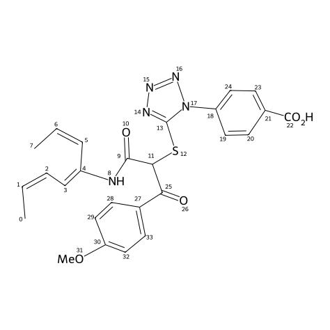 C\C=C/C=C(\C=C/C)NC(=O)C(Sc1nnnn1-c1ccc(C(=O)O)cc1)C(=O)c1ccc(OC)cc1